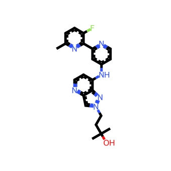 Cc1ccc(F)c(-c2cc(Nc3ccnc4cn(CCC(C)(C)O)nc34)ccn2)n1